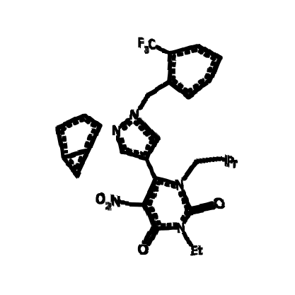 CCn1c(=O)c([N+](=O)[O-])c(-c2cnn(Cc3ccccc3C(F)(F)F)c2)n(CC(C)C)c1=O.c1cc2cc-2c1